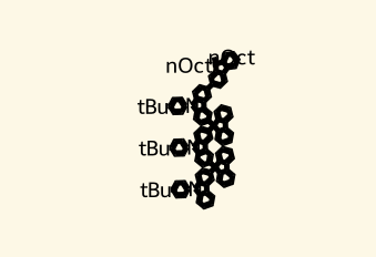 CCCCCCCCC1(CCCCCCCC)c2ccccc2-c2ccc(-c3ccc4c(c3)c3cc(C5(c6ccc7c(c6)c6cc(C8(c9ccc%10c(c9)c9ccccc9n%10-c9ccc(C(C)(C)C)cc9)c9ccccc9-c9ccccc98)ccc6n7-c6ccc(C(C)(C)C)cc6)c6ccccc6-c6ccccc65)ccc3n4-c3ccc(C(C)(C)C)cc3)cc21